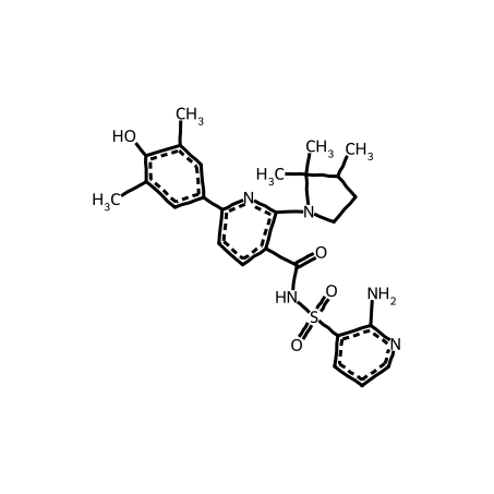 Cc1cc(-c2ccc(C(=O)NS(=O)(=O)c3cccnc3N)c(N3CCC(C)C3(C)C)n2)cc(C)c1O